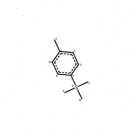 Cc1ccc(S(C)(C)C)cc1